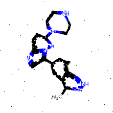 Cc1n[nH]c2ccc(-c3cnc4ccc(N5CCNCC5)nn34)cc12